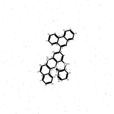 S=P12c3c(cc(-c4cc5ccccc5c5ccccc45)cc3Oc3ccc4ccccc4c31)Oc1ccc3ccccc3c12